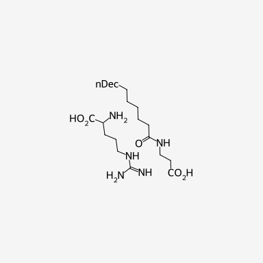 CCCCCCCCCCCCCCCC(=O)NCCC(=O)O.N=C(N)NCCCC(N)C(=O)O